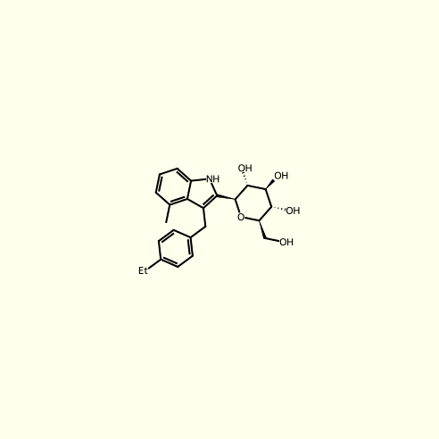 CCc1ccc(Cc2c([C@@H]3O[C@H](CO)[C@@H](O)[C@H](O)[C@H]3O)[nH]c3cccc(C)c23)cc1